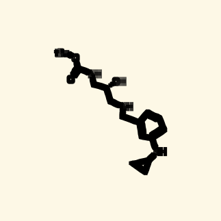 CC(C)(C)OC(=O)NC[C@H](O)CNCc1cccc(NC2CC2)c1